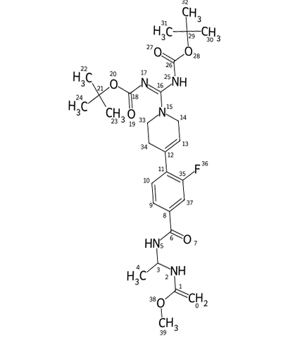 C=C(NC(C)NC(=O)c1ccc(C2=CCN(/C(=N\C(=O)OC(C)(C)C)NC(=O)OC(C)(C)C)CC2)c(F)c1)OC